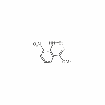 CCNc1c(C(=O)OC)cccc1[N+](=O)[O-]